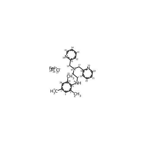 Cc1cc(C)c(NCCN(Cc2ccccn2)Cc2ccccn2)c(C)c1.[Cl-].[Cl-].[Fe+2]